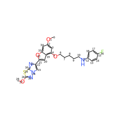 COc1cc(OCCCCCNc2ccc(F)cc2)c2cc(-c3cn4nc(OC)sc4n3)oc2c1